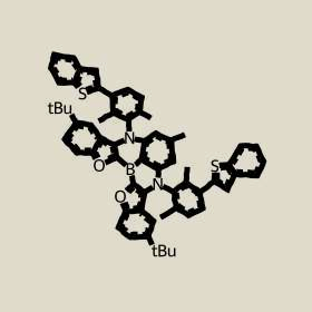 Cc1cc2c3c(c1)N(c1c(C)ccc(-c4cc5ccccc5s4)c1C)c1c(oc4ccc(C(C)(C)C)cc14)B3c1oc3ccc(C(C)(C)C)cc3c1N2c1c(C)ccc(-c2cc3ccccc3s2)c1C